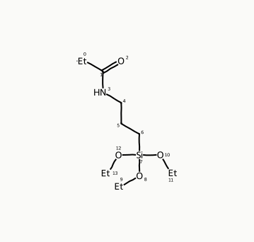 C[CH]C(=O)NCCC[Si](OCC)(OCC)OCC